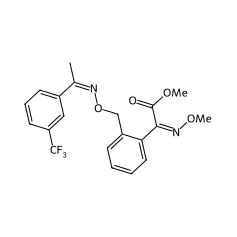 CO/N=C(\C(=O)OC)c1ccccc1CON=C(C)c1cccc(C(F)(F)F)c1